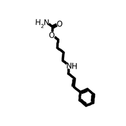 NC(=O)OCCCCNCC=Cc1ccccc1